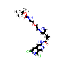 CC(C)(C)OC(=O)NCCOCCn1cc([C@H]2C[C@@H]2C(=O)Nc2cc3cc(Cl)nc(Cl)c3cn2)cn1